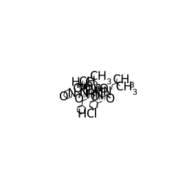 CC(C)CCNC(=O)[C@H](Cc1ccccc1)NC(=O)[C@H](CC(C)C)NC(=O)[C@H](CCc1ccccc1)N(C(=O)CN1CCOCC1)C(=O)[C@@]1(C)CO1.Cl